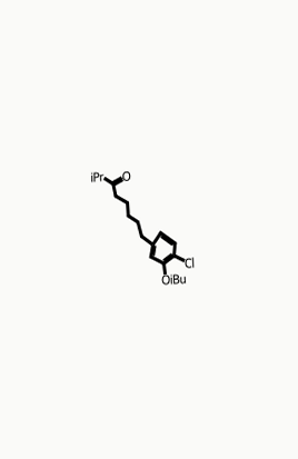 CC(C)COc1cc(CCCCCC(=O)C(C)C)ccc1Cl